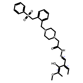 C/C=C(/C=N/NC(=O)CN1CCN(Cc2ccccc2CS(=O)(=O)c2ccccc2)CC1)C(\O)=C(/C)OC